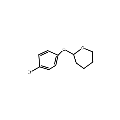 C[CH]c1ccc(OC2CCCCO2)cc1